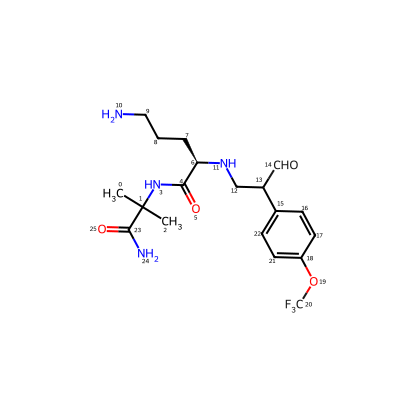 CC(C)(NC(=O)[C@@H](CCCN)NCC(C=O)c1ccc(OC(F)(F)F)cc1)C(N)=O